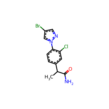 CC(C(N)=O)c1ccc(-n2cc(Br)cn2)c(Cl)c1